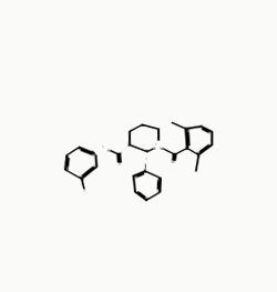 Cc1cccc(C)c1C(=O)N1CCC[C@H](C(=O)Nc2cccc(Cl)c2)[C@@H]1c1ccccc1